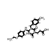 CCOc1ccc(NC2NC(=O)N(CCC(=O)O)C(=O)N2Cc2ccc(C)cc2)cc1